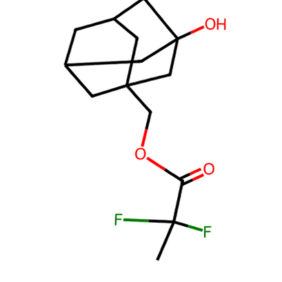 CC(F)(F)C(=O)OCC12CC3CC(CC(O)(C3)C1)C2